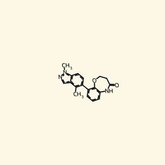 Cc1c(-c2cccc3c2OCCC(=O)N3)ccc2c1cnn2C